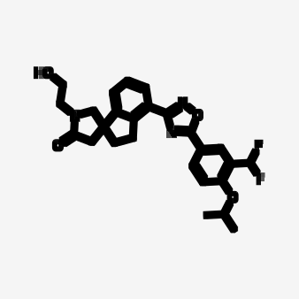 CC(C)Oc1ccc(-c2nc(-c3cccc4c3CCC43CC(=O)N(CCO)C3)no2)cc1C(F)F